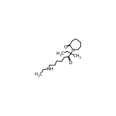 CCNCCCCCC(=O)C(C)(CC)N1CCCCCC1=O